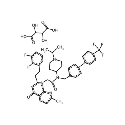 Cc1ccc2c(=O)cc(CCc3cccc(F)c3F)n(CC(=O)N(Cc3ccc(-c4ccc(C(F)(F)F)cc4)cc3)C3CCN(C(C)C)CC3)c2n1.O=C(O)C(O)C(O)C(=O)O